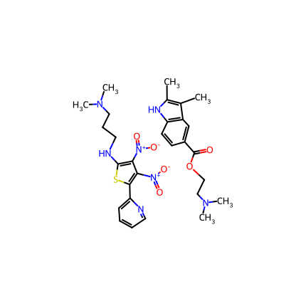 CN(C)CCCNc1sc(-c2ccccn2)c([N+](=O)[O-])c1[N+](=O)[O-].Cc1[nH]c2ccc(C(=O)OCCN(C)C)cc2c1C